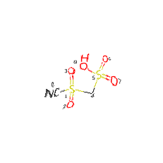 N#CS(=O)(=O)CS(=O)(=O)O